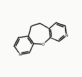 c1cc2c(cn1)Oc1cnccc1CC2